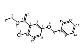 C=C(OCC)c1cc(OCc2ccccc2)cnc1Cl